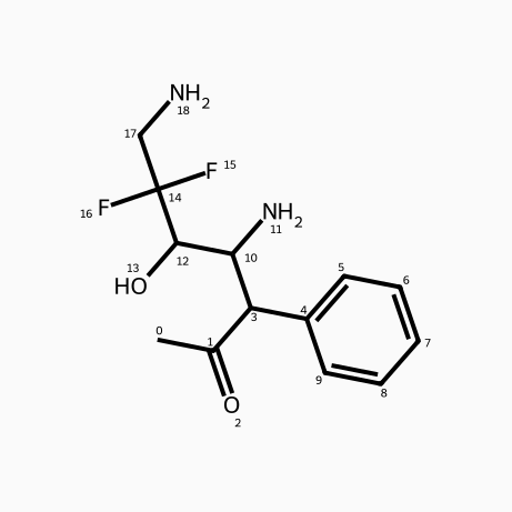 CC(=O)C(c1ccccc1)C(N)C(O)C(F)(F)CN